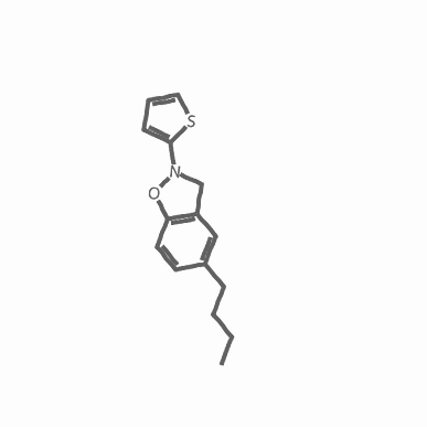 CCCCc1ccc2c(c1)CN(c1cccs1)O2